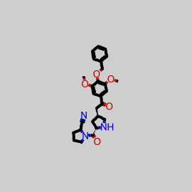 COc1cc(C(=O)C[C@H]2CN[C@H](C(=O)N3CCCC3C#N)C2)cc(OC)c1OCc1ccccc1